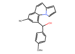 COc1ccc(C(O)c2cc(C#N)cc3ccc4cccn4c23)cc1